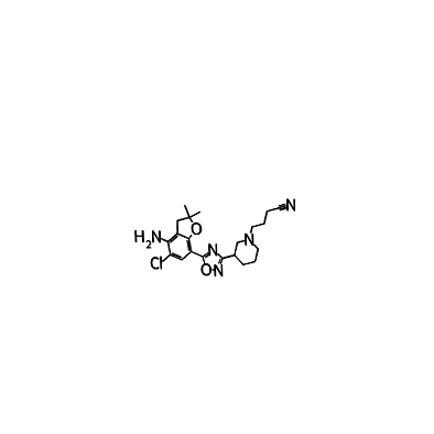 CC1(C)Cc2c(N)c(Cl)cc(-c3nc(C4CCCN(CCCC#N)C4)no3)c2O1